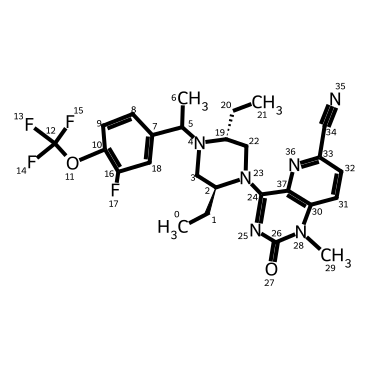 CC[C@H]1CN(C(C)c2ccc(OC(F)(F)F)c(F)c2)[C@H](CC)CN1c1nc(=O)n(C)c2ccc(C#N)nc12